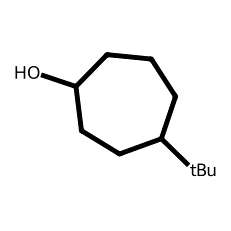 CC(C)(C)C1CCCC(O)CC1